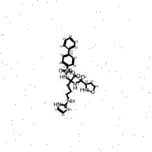 O=C(NC(CCCNc1ncc[nH]1)(NS(=O)(=O)c1ccc(-c2ccccc2)cc1)C(=O)O)C1CCON1